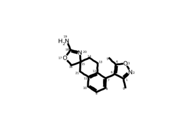 Cc1noc(C)c1-c1cccc2c1CCC1(COC(N)=N1)C2